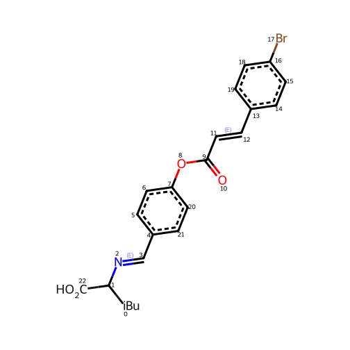 CCC(C)C(/N=C/c1ccc(OC(=O)/C=C/c2ccc(Br)cc2)cc1)C(=O)O